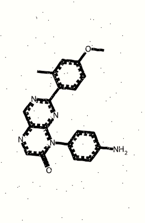 COc1ccc(-c2ncc3ncc(=O)n(-c4ccc(N)cc4)c3n2)c(C)c1